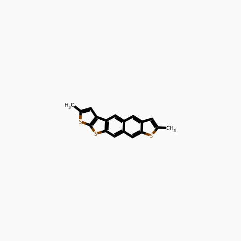 Cc1cc2cc3cc4c(cc3cc2s1)sc1sc(C)cc14